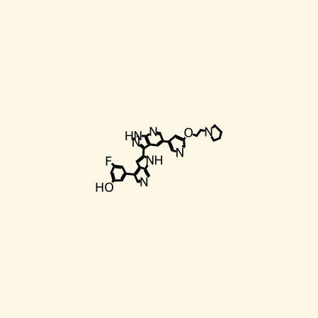 Oc1cc(F)cc(-c2cncc3[nH]c(-c4n[nH]c5ncc(-c6cncc(OCCN7CCCC7)c6)cc45)cc23)c1